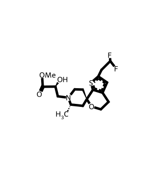 COC(=O)[C@@H](O)CN1CC[C@]2(C[C@@H]1C)OCCc1cc(CC(F)F)sc12